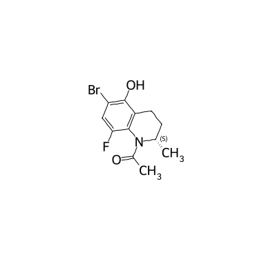 CC(=O)N1c2c(F)cc(Br)c(O)c2CC[C@@H]1C